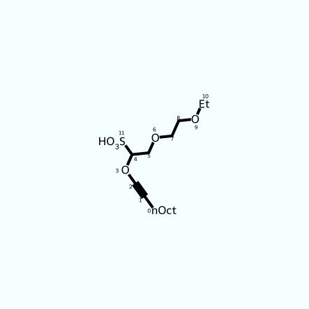 CCCCCCCCC#COC(COCCOCC)S(=O)(=O)O